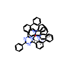 C=Cc1c(/C=C\C)c2ccccc2n1-c1c(-c2ccccc2)cccc1-c1nc(-c2ccccc2)nc(-c2cccc(-c3ccccc3)c2-n2c3ccccc3c3ccccc32)n1